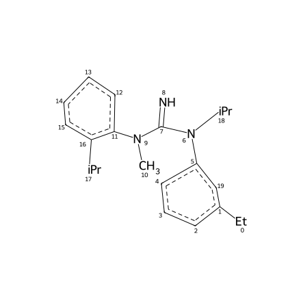 CCc1cccc(N(C(=N)N(C)c2ccccc2C(C)C)C(C)C)c1